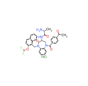 CC(=O)c1ccc(C(=O)N2CC(NC(=O)C(C)N)C(=O)N(Cc3c(OC(F)F)ccc4ccccc34)c3ccccc32)cc1.Cl